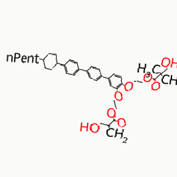 C=C(CO)C(=O)OCCOc1cc(-c2ccc(-c3ccc(C4CCC(CCCCC)CC4)cc3)cc2)ccc1OCCOC(=O)C(C)(C)CO